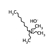 CCCCCCCCC[N+](CCC)(CCC)CCC.[OH-]